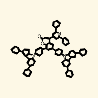 O=c1cc(-c2cc(-c3ccccc3)nc(-c3ccccc3)c2)c2cc(-c3ccc(-n4c5ccc(-c6ccccc6)cc5c5cc(-c6ccccc6)ccc54)cc3)cc(-c3ccc(-n4c5ccc(-c6ccccc6)cc5c5cc(-c6ccccc6)ccc54)cc3)c2o1